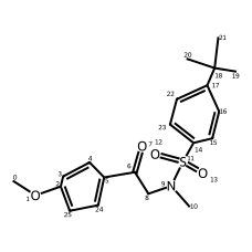 COc1ccc(C(=O)CN(C)S(=O)(=O)c2ccc(C(C)(C)C)cc2)cc1